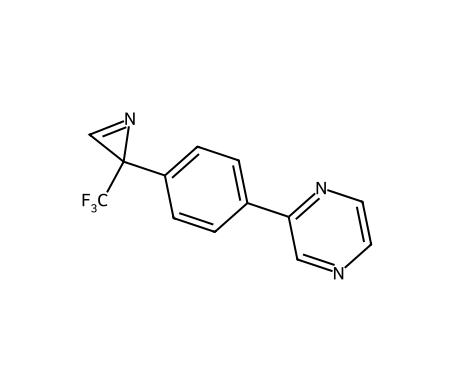 FC(F)(F)C1(c2ccc(-c3cnccn3)cc2)C=N1